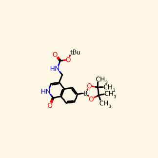 CC(C)(C)OC(=O)NCc1c[nH]c(=O)c2ccc(B3OC(C)(C)C(C)(C)O3)cc12